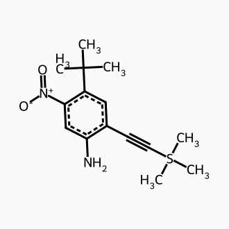 CC(C)(C)c1cc(C#CS(C)(C)C)c(N)cc1[N+](=O)[O-]